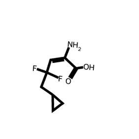 N/C(=C/C(F)(F)CC1CC1)C(=O)O